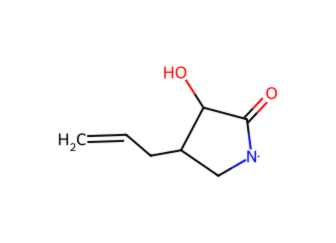 C=CCC1C[N]C(=O)C1O